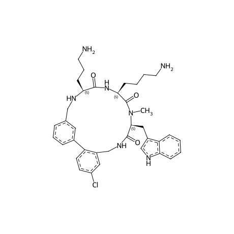 CN1C(=O)[C@H](CCCCN)NC(=O)[C@H](CCCN)NCc2cccc(c2)-c2ccc(Cl)cc2CNC(=O)[C@@H]1Cc1c[nH]c2ccccc12